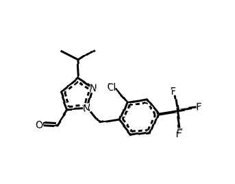 CC(C)c1cc(C=O)n(Cc2ccc(C(F)(F)F)cc2Cl)n1